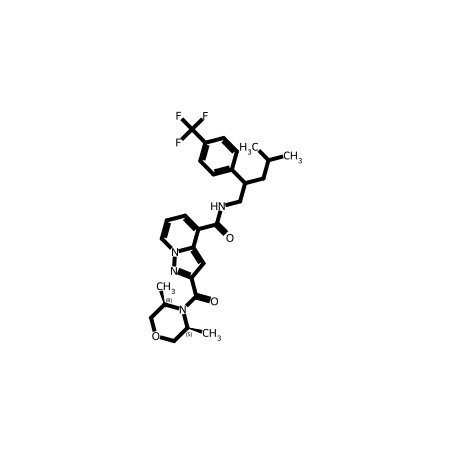 CC(C)CC(CNC(=O)c1cccn2nc(C(=O)N3[C@H](C)COC[C@@H]3C)cc12)c1ccc(C(F)(F)F)cc1